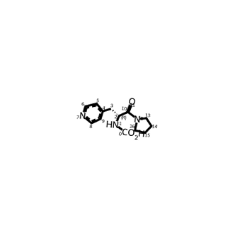 O=C(O)N[C@H](Cc1ccncc1)C(=O)N1CCCC1